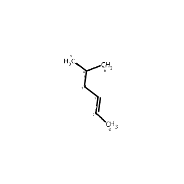 C/[C]=C/CC(C)C